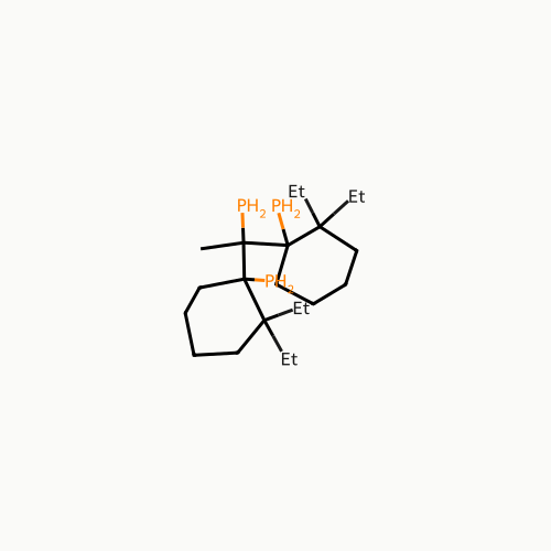 CCC1(CC)CCCCC1(P)C(C)(P)C1(P)CCCCC1(CC)CC